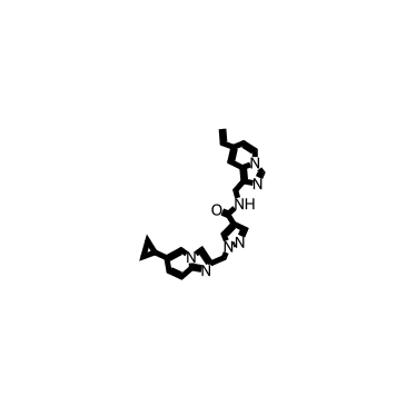 C=Cc1ccn2cnc(CNC(=O)c3cnn(Cc4cn5cc(C6CC6)ccc5n4)c3)c2c1